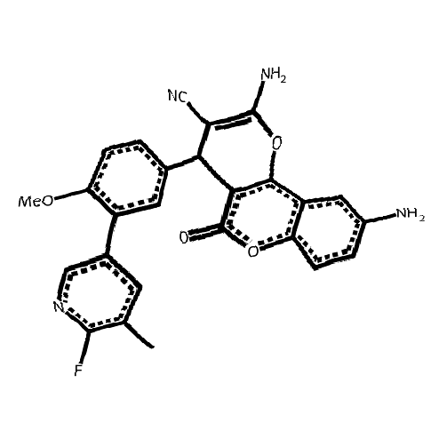 COc1ccc(C2C(C#N)=C(N)Oc3c2c(=O)oc2ccc(N)cc32)cc1-c1cnc(F)c(C)c1